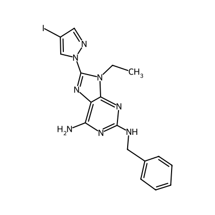 CCn1c(-n2cc(I)cn2)nc2c(N)nc(NCc3ccccc3)nc21